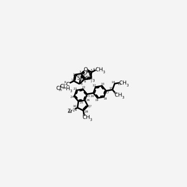 CC1=C2c3oc(C)cc3C1[Si]2(C)C.CCC(C)c1ccc(-c2cccc3c2C=C(C)[CH]3[Zr+2])cc1.[Cl-].[Cl-]